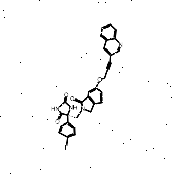 O=C1NC(=O)[C@](CN2Cc3ccc(OCC#Cc4cnc5ccccc5c4)cc3C2=O)(c2ccc(F)cc2)N1